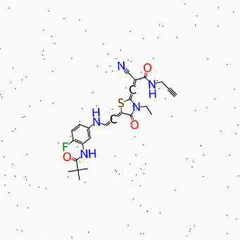 C#CCNC(=O)C(=C=c1sc(=C=CNc2ccc(F)c(NC(=O)C(C)(C)C)c2)c(=O)n1CC)C#N